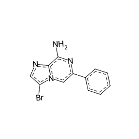 Nc1nc(-c2ccccc2)cn2c(Br)cnc12